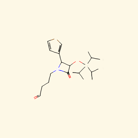 CC(C)[Si](OC1C(=O)N(CCCC=O)C1c1ccsc1)(C(C)C)C(C)C